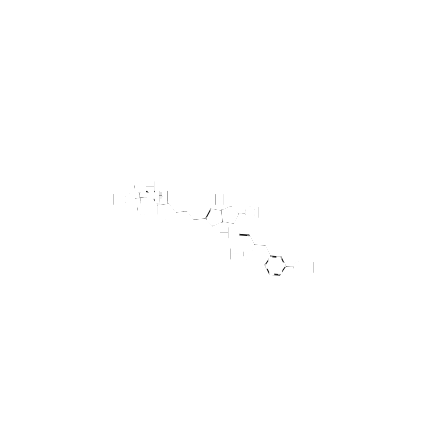 Cc1cccc(C[C@H](O)/C=C/[C@@H]2[C@H]3CC(CCCCCNC(C)(C)C)=C[C@H]3C[C@H]2O)c1